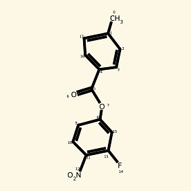 Cc1ccc(C(=O)Oc2ccc([N+](=O)[O-])c(F)c2)cc1